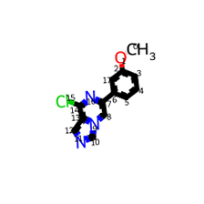 COc1cccc(-c2cn3cncc3c(Cl)n2)c1